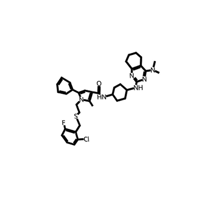 Cc1c(C(=O)NC2CCC(Nc3nc4c(c(N(C)C)n3)CCCC4)CC2)cc(-c2ccccc2)n1CCSCc1c(F)cccc1Cl